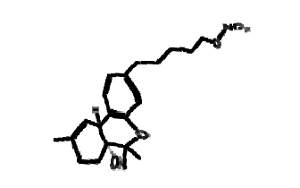 CC1=C[C@@H]2c3ccc(CCCCCO[N+](=O)[O-])cc3OC(C)(C)[C@@]2(O)CC1